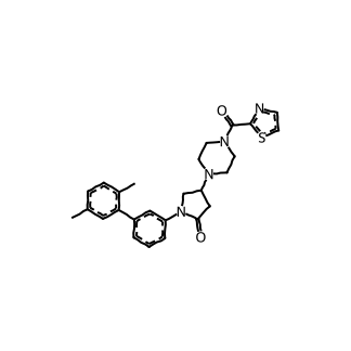 Cc1ccc(C)c(-c2cccc(N3CC(N4CCN(C(=O)c5nccs5)CC4)CC3=O)c2)c1